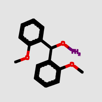 COc1ccccc1C(OP)c1ccccc1OC